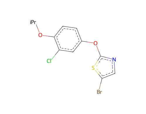 CC(C)Oc1ccc(Oc2ncc(Br)s2)cc1Cl